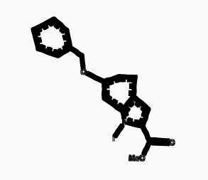 COC(=O)c1cc2ccc(OCc3ccccc3)cc2n1I